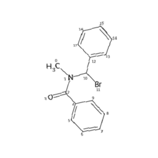 CN(C(=O)c1ccccc1)C(Br)c1ccccc1